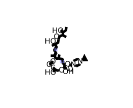 CCC(O)C(C)C1OC1CC(C)(O)/C=C/C=C(C)C1OC(=O)CC(O)CCC(C)(O)C(OC(=O)N2CCN(C3CC3)CC2)/C=C/C1C